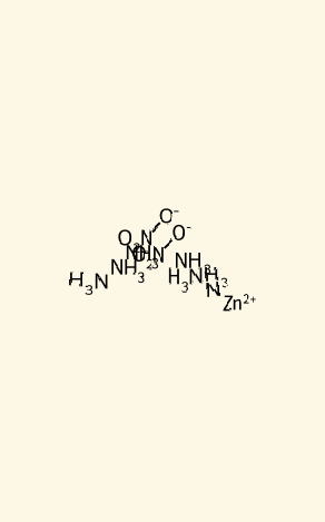 N.N.N.N.N.N.O=[N+]([O-])[O-].O=[N+]([O-])[O-].[Zn+2]